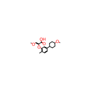 CO/C=C(\Oc1cc(C2CCC(OC)CC2)ccc1C)C(=O)O